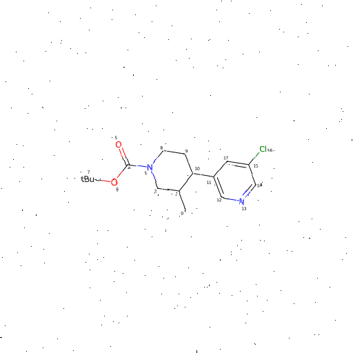 CC1CN(C(=O)OC(C)(C)C)CCC1c1cncc(Cl)c1